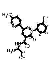 Cc1ccc(-c2cc(C(=O)NC(C)CO)c(=O)n(-c3cccc(F)c3)n2)nc1